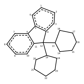 [c]1cc[c]c2c1-c1ccccc1C2(C1CCCCC1)C1CCCCC1